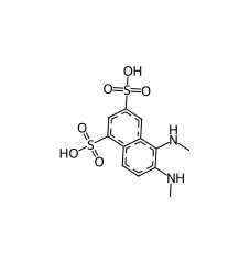 CNc1ccc2c(S(=O)(=O)O)cc(S(=O)(=O)O)cc2c1NC